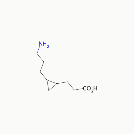 NCCCC1CC1CCC(=O)O